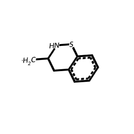 [CH2]C1Cc2ccccc2SN1